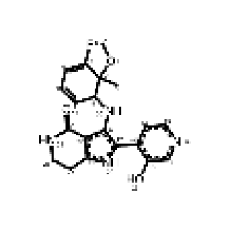 COC1(C)C(F)=CC=CC1Nc1c(-c2ccncc2O)[nH]c2c1C(=O)NCC2